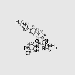 Cn1cnc(-c2ccc([C@H]3CC[C@H](c4nn(C)c(N)c4C(=O)Nc4ccc(F)c(Cl)c4)C3)cc2)c1